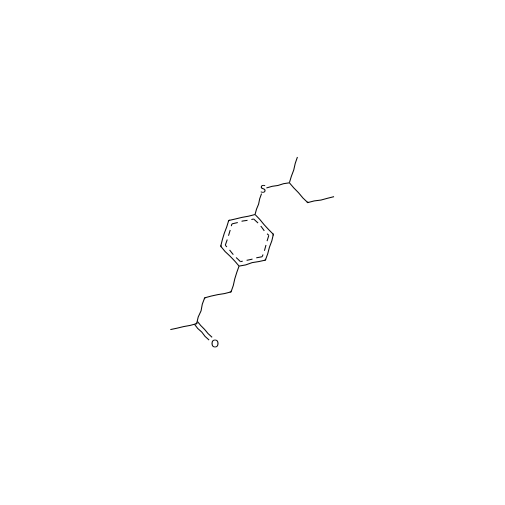 CCC(C)Sc1ccc(CCC(C)=O)cc1